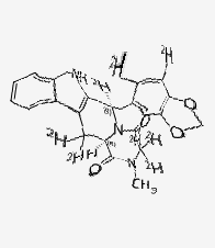 [2H]c1c([2H])c([C@]2([2H])c3[nH]c4ccccc4c3C([2H])([2H])[C@@H]3C(=O)N(C)C([2H])([2H])C(=O)N32)c([2H])c2c1OCO2